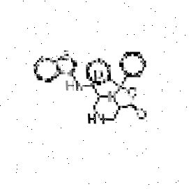 O=C(Nc1csc2ccccc12)C1CNCC2C(=O)OC(c3ccccc3)(c3ccccc3)N12